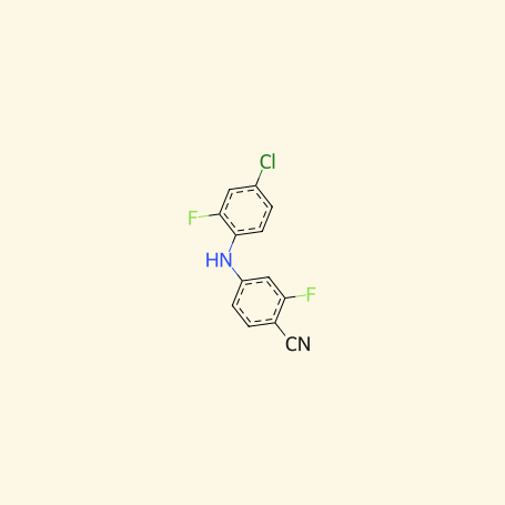 N#Cc1ccc(Nc2ccc(Cl)cc2F)cc1F